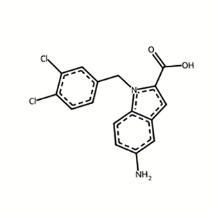 Nc1ccc2c(c1)cc(C(=O)O)n2Cc1ccc(Cl)c(Cl)c1